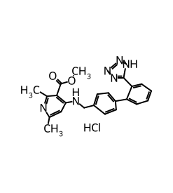 COC(=O)c1c(NCc2ccc(-c3ccccc3-c3nnn[nH]3)cc2)cc(C)nc1C.Cl